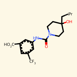 CC(C)CC1(O)CCN(C(=O)Nc2cc(C(=O)O)cc(C(F)(F)F)c2)CC1